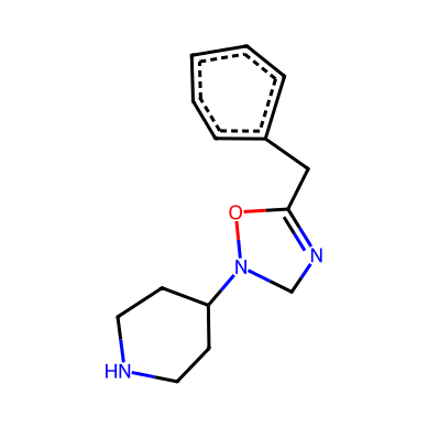 c1ccc(CC2=NCN(C3CCNCC3)O2)cc1